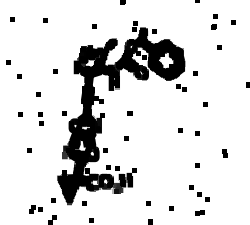 CC(OC(=O)Nc1c(C#Cc2nc3oc(C4(C(=O)O)CC4)nc3o2)nnn1C)c1ccccc1